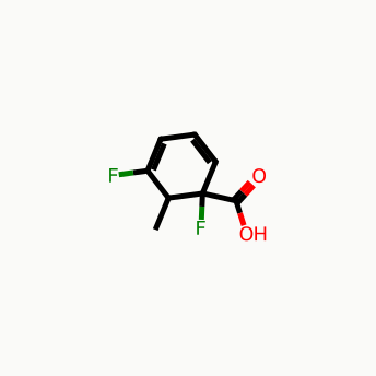 CC1C(F)=CC=CC1(F)C(=O)O